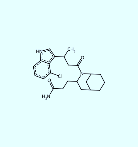 CC(CC(=O)N1C2CCCC(C2)CC1CCC(N)=O)c1c[nH]c2cccc(Cl)c12